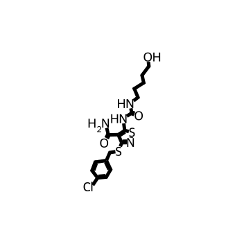 NC(=O)c1c(SCc2ccc(Cl)cc2)nsc1NC(=O)NCCCCCO